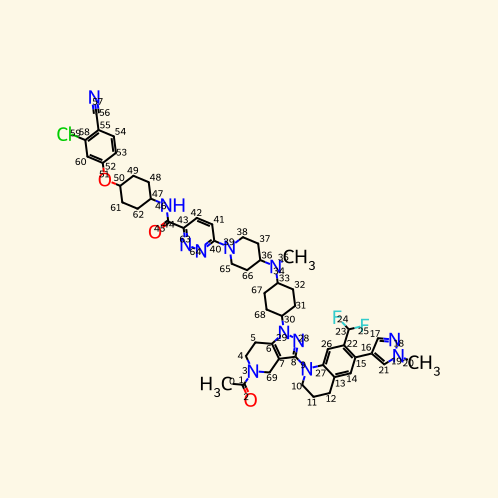 CC(=O)N1CCc2c(c(N3CCCc4cc(-c5cnn(C)c5)c(C(F)F)cc43)nn2C2CCC(N(C)C3CCN(c4ccc(C(=O)NC5CCC(Oc6ccc(C#N)c(Cl)c6)CC5)nn4)CC3)CC2)C1